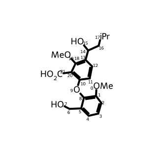 COc1cccc(CO)c1Oc1ccc(C(O)CC(C)C)c(OC)c1C(=O)O